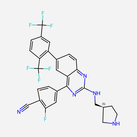 N#Cc1ccc(-c2nc(NC[C@H]3CCNC3)nc3ccc(-c4cc(C(F)(F)F)ccc4C(F)(F)F)cc23)cc1F